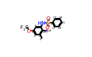 Cc1cc(OC(F)(F)F)cc(NS(=O)(=O)c2ccccc2)c1I